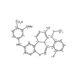 COc1cc(Nc2ncc3c(n2)C2C=CC(Cl)=CC2C(c2c(F)cccc2OCC(F)(F)F)=NC3)ccc1C(=O)O